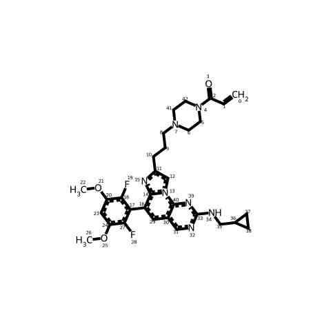 C=CC(=O)N1CCN(CCCc2cn3c(n2)c(-c2c(F)c(OC)cc(OC)c2F)cc2cnc(NCC4CC4)nc23)CC1